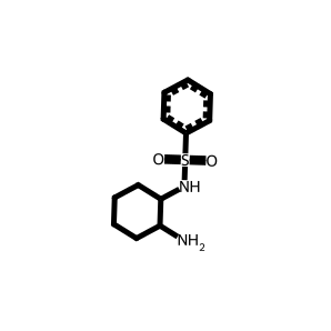 NC1CCCCC1NS(=O)(=O)c1ccccc1